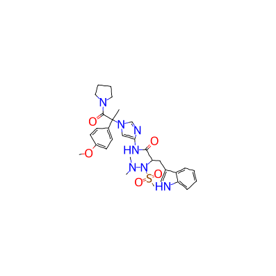 COc1ccc(C(C)(C(=O)N2CCCC2)n2cnc(NC(=O)C(Cc3c[nH]c4ccccc34)N(N(C)C)S(C)(=O)=O)c2)cc1